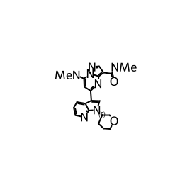 CNC(=O)c1cnn2c(NC)cc(-c3cn([C@H]4CCCOC4)c4ncccc34)nc12